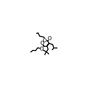 CCCCOC(=O)C(CC(C)C)=C(CC(C)(C)C)C(=O)OCCCC